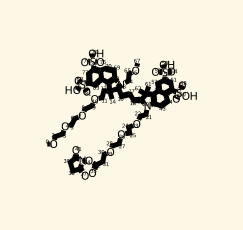 COCCOCCOCCOCCC1(C)C(/C=C/C=C2/N(CCOCCOCCOCCC(=O)ON3C(=O)CCC3=O)c3ccc4c(S(=O)(=O)O)cc(S(=O)(=O)O)cc4c3C2(C)C)=[N+](CCOC)c2ccc3c(S(=O)(=O)O)cc(S(=O)(=O)O)cc3c21